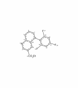 CCOC(=O)c1cnc2cccc(-c3c(F)cc(F)cc3F)c2c1